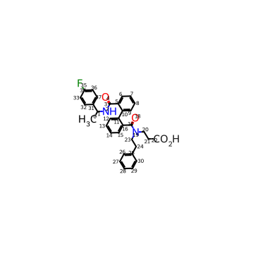 CC(NC(=O)c1ccccc1-c1ccccc1C(=O)N(CCC(=O)O)CCc1ccccc1)c1ccc(F)cc1